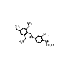 CCOC(=O)Nc1ccc(NCc2c(CN)cc(CN)cc2CN)cc1N